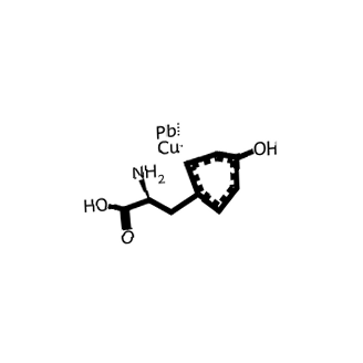 N[C@@H](Cc1ccc(O)cc1)C(=O)O.[Cu].[Pb]